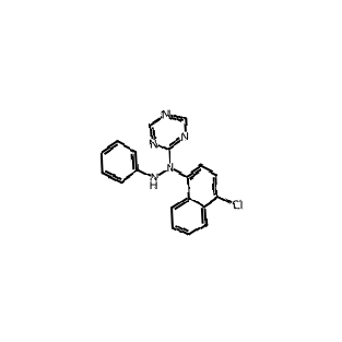 Clc1ccc(N(Nc2ccccc2)c2ncncn2)c2ccccc12